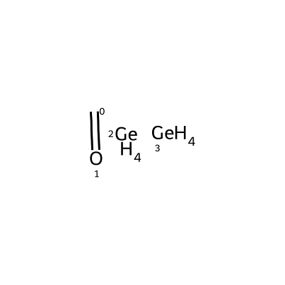 C=O.[GeH4].[GeH4]